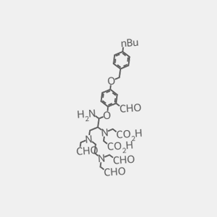 CCCCc1ccc(COc2ccc(OC(N)C(CN(CC=O)CCN(CC=O)CC=O)N(CC(=O)O)CC(=O)O)c(C=O)c2)cc1